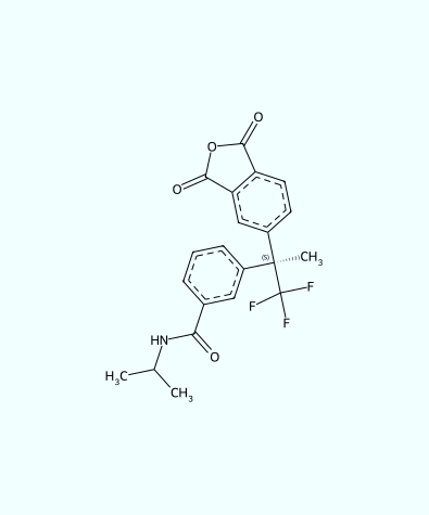 CC(C)NC(=O)c1cccc([C@@](C)(c2ccc3c(c2)C(=O)OC3=O)C(F)(F)F)c1